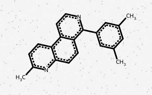 Cc1cc(C)cc(-c2nccc3c2ccc2nc(C)ccc23)c1